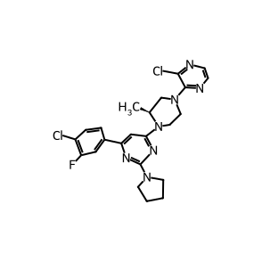 C[C@H]1CN(c2nccnc2Cl)CCN1c1cc(-c2ccc(Cl)c(F)c2)nc(N2CCCC2)n1